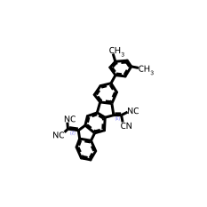 [C-]#[N+]/C(C#N)=C1/c2ccccc2-c2cc3c(cc21)-c1ccc(-c2cc(C)cc(C)c2)cc1/C3=C(/C#N)[N+]#[C-]